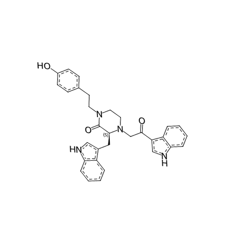 O=C(CN1CCN(CCc2ccc(O)cc2)C(=O)[C@@H]1Cc1c[nH]c2ccccc12)c1c[nH]c2ccccc12